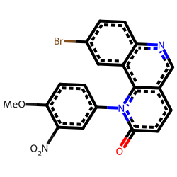 COc1ccc(-n2c(=O)ccc3cnc4ccc(Br)cc4c32)cc1[N+](=O)[O-]